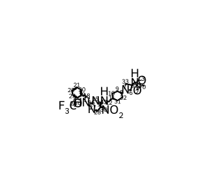 CS(=O)(=O)NC1CN(C2CCC(CNc3nc(NCc4ccccc4OC(F)(F)F)ncc3[N+](=O)[O-])CC2)C1